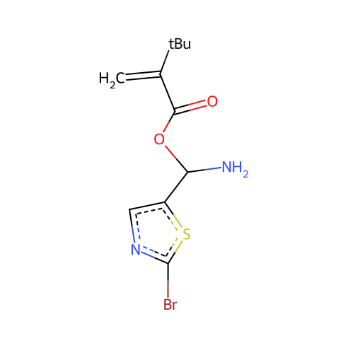 C=C(C(=O)OC(N)c1cnc(Br)s1)C(C)(C)C